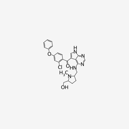 CN1C(CO)CCC1CNc1ncnc2[nH]cc(C(=O)c3ccc(Oc4ccccc4)cc3Cl)c12